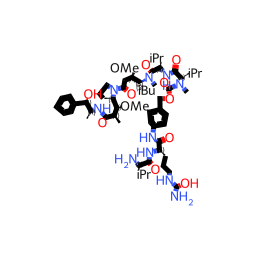 CC[C@H](C)[C@@H]([C@@H](CC(=O)N1CCC[C@H]1[C@H](OC)[C@@H](C)C(=O)N[C@H](C)[C@@H](O)c1ccccc1)OC)N(C)C(=O)[C@@H](NC(=O)[C@H](C(C)C)N(C)C(=O)OCc1ccc(NC(=O)[C@H](CCCNC(N)O)NC(=O)[C@@H](N)C(C)C)cc1)C(C)C